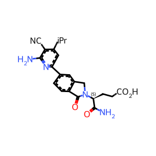 CC(C)c1cc(-c2ccc3c(c2)CN([C@@H](CCC(=O)O)C(N)=O)C3=O)nc(N)c1C#N